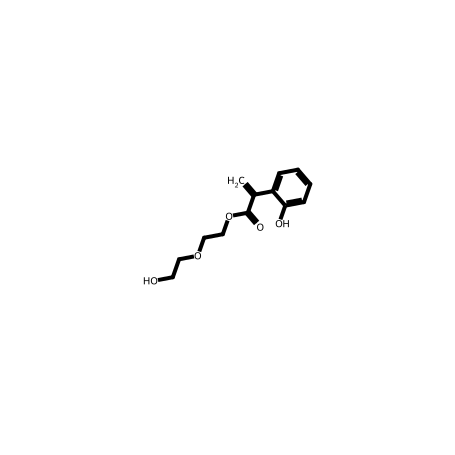 C=C(C(=O)OCCOCCO)c1ccccc1O